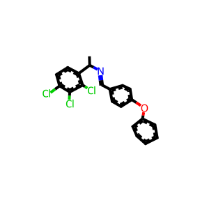 CC(/N=C/c1ccc(Oc2ccccc2)cc1)c1ccc(Cl)c(Cl)c1Cl